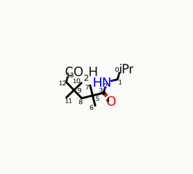 CC(C)CNC(=O)C(C)(C)CC(C)(C)CC(=O)O